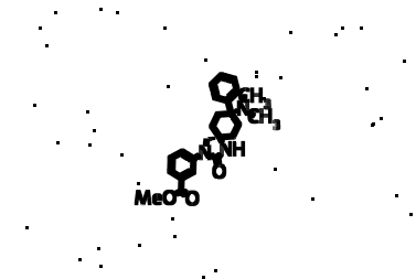 COC(=O)c1cccc(N2C[C@]3(CC[C@](c4ccccc4)(N(C)C)CC3)NC2=O)c1